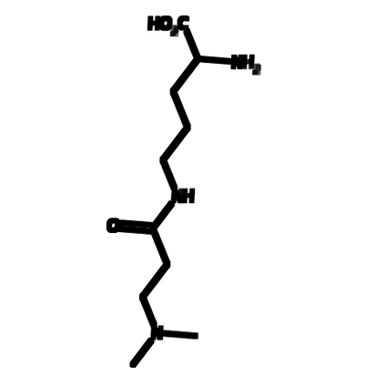 CN(C)CCC(=O)NCCCC(N)C(=O)O